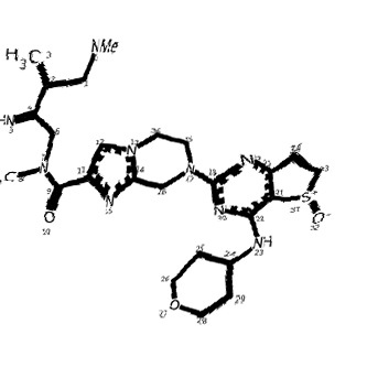 CNCC(C)C(=N)CN(C)C(=O)c1cn2c(n1)CN(c1nc3c(c(NC4CCOCC4)n1)[S+]([O-])CC3)CC2